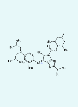 CCCCC(CC)CN(CC(CC)CCCC)c1ccc(/N=C2\C(C#N)=C(C(=O)OC3C(C(C)(C)C)CC(C)CC3C(C)(C)C)c3nc(C(CC)CCCC)nn32)c(C(C)CC)c1